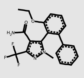 CCOc1cccc(-c2ccccc2)c1-c1c(C(N)=O)c(C(F)(F)F)nn1C